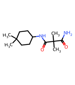 CC1(C)CCC(NC(=O)C(C)(C)C(N)=O)CC1